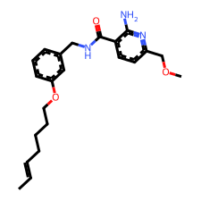 C/C=C/CCCCOc1cccc(CNC(=O)c2ccc(COC)nc2N)c1